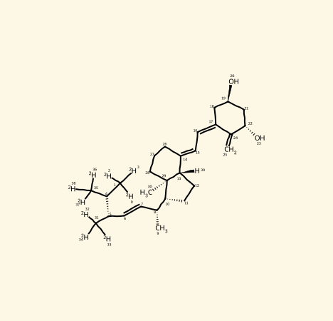 [2H]C([2H])([2H])C([C@H](/C=C/[C@@H](C)[C@H]1CC[C@H]2/C(=C/C=C3/C[C@@H](O)C[C@H](O)C3=C)CCC[C@]12C)C([2H])([2H])[2H])C([2H])([2H])[2H]